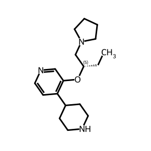 CC[C@@H](CN1CCCC1)Oc1cnccc1C1CCNCC1